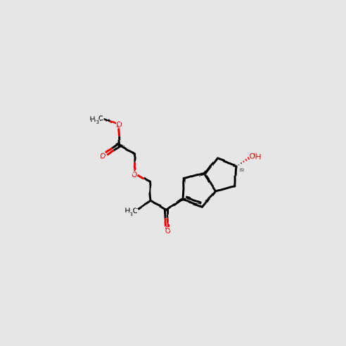 COC(=O)COCC(C)C(=O)C1=CC2C[C@@H](O)CC2C1